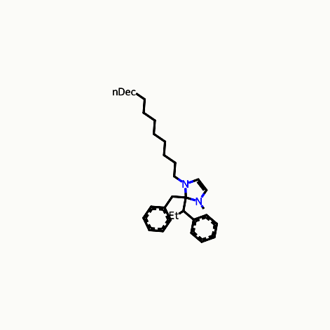 CCCCCCCCCCCCCCCCCCN1C=CN(C)C1(Cc1ccccc1)C(CC)c1ccccc1